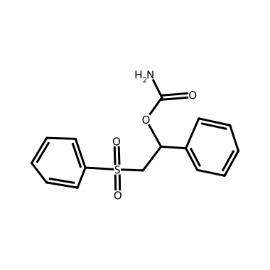 NC(=O)OC(CS(=O)(=O)c1ccccc1)c1ccccc1